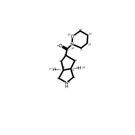 O=C(C1C[C@H]2CNC[C@H]2C1)N1CCCCO1